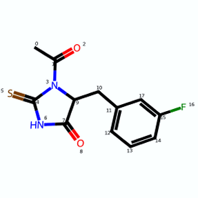 CC(=O)N1C(=S)NC(=O)C1Cc1cccc(F)c1